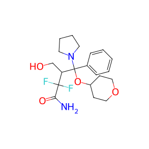 NC(=O)C(F)(F)C(CO)C(OC1CCOCC1)(c1ccccc1)N1CCCC1